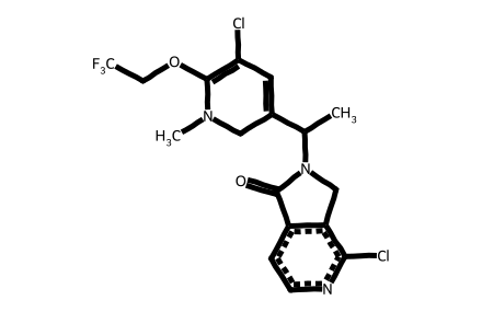 CC(C1=CC(Cl)=C(OCC(F)(F)F)N(C)C1)N1Cc2c(ccnc2Cl)C1=O